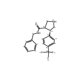 O=C(NCc1ccccc1)C1CNC[C@H]1c1ccc(C(F)(F)F)cc1